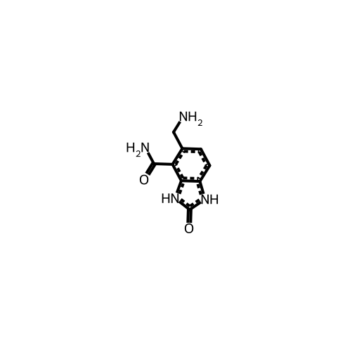 NCc1ccc2[nH]c(=O)[nH]c2c1C(N)=O